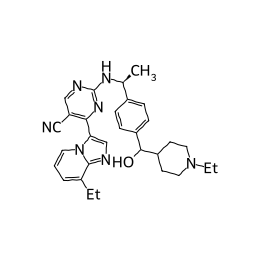 CCc1cccn2c(-c3nc(N[C@@H](C)c4ccc(C(O)C5CCN(CC)CC5)cc4)ncc3C#N)cnc12